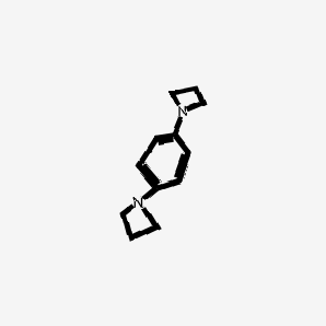 c1cc(N2CCC2)ccc1N1CCC1